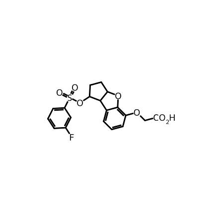 O=C(O)COc1cccc2c1OC1CCC(OS(=O)(=O)c3cccc(F)c3)C21